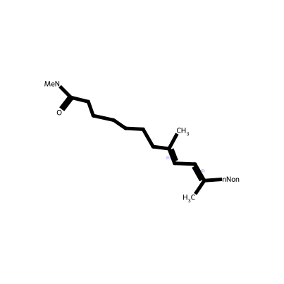 CCCCCCCCC/C(C)=C/C=C(\C)CCCCCCC(=O)NC